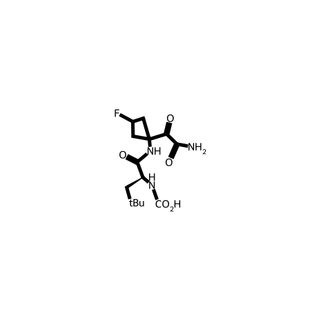 CC(C)(C)C[C@H](NC(=O)O)C(=O)NC1(C(=O)C(N)=O)CC(F)C1